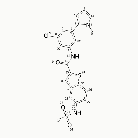 Cn1cccc1-c1cc(Cl)cc(NC(=O)c2cc3cc(NS(C)(=O)=O)ccc3s2)c1